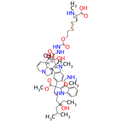 CC[C@@](O)(CC=CC(C(=O)OC)(c1cc2c(cc1OC)N(C)[C@H]1[C@@](O)(C(=O)NNC(=O)OCCSSC[C@@H](NC)C(=O)O)[C@H](O)[C@]3(CC)C=CCN4CC[C@]21C43)c1[nH]c2ccccc2c1CN)CC(C)C